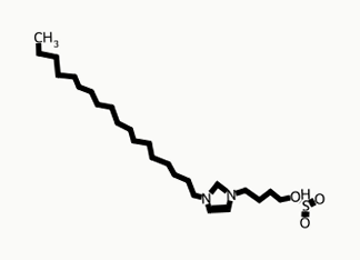 CCCCCCCCCCCCCCCCCCN1C=CN(CCCCO[SH](=O)=O)C1